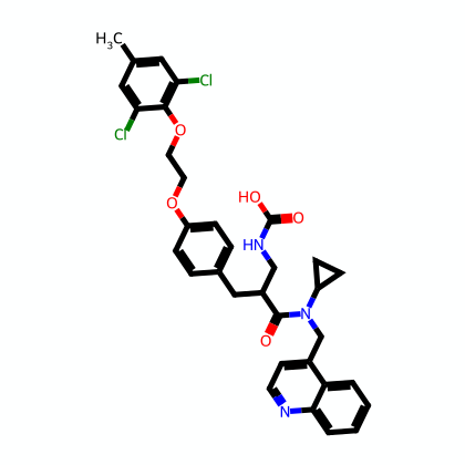 Cc1cc(Cl)c(OCCOc2ccc(CC(CNC(=O)O)C(=O)N(Cc3ccnc4ccccc34)C3CC3)cc2)c(Cl)c1